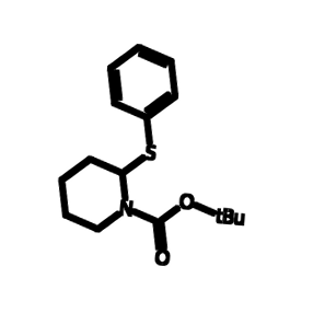 CC(C)(C)OC(=O)N1CCCCC1Sc1ccccc1